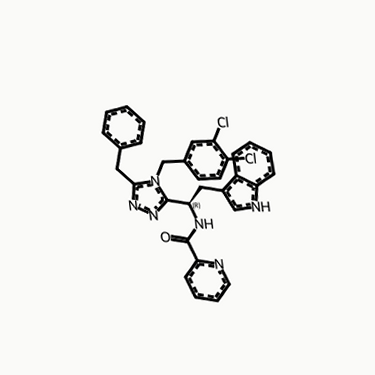 O=C(N[C@H](Cc1c[nH]c2ccccc12)c1nnc(Cc2ccccc2)n1Cc1ccc(Cl)c(Cl)c1)c1ccccn1